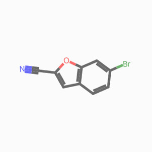 N#Cc1cc2ccc(Br)cc2o1